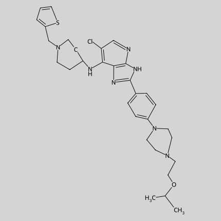 CC(C)OCCN1CCN(c2ccc(-c3nc4c(NC5CCN(Cc6cccs6)CC5)c(Cl)cnc4[nH]3)cc2)CC1